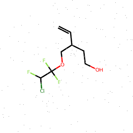 C=CC(CCO)COC(F)(F)C(F)Cl